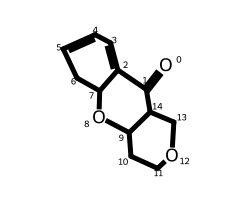 O=C1C2=CC=CCC2OC2CCOCC12